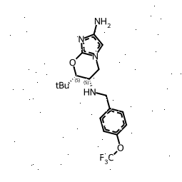 CC(C)(C)[C@@H]1Oc2nc(N)cn2C[C@@H]1NCc1ccc(OC(F)(F)F)cc1